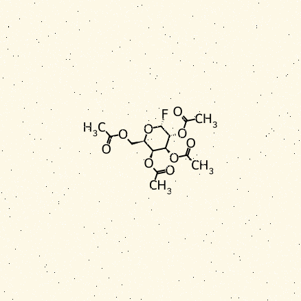 CC(=O)OC[C@H]1O[C@H](F)[C@H](OC(C)=O)[C@@H](OC(C)=O)[C@H]1OC(C)=O